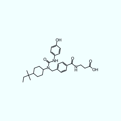 CCC(C)(C)C1CCC(N(Cc2ccc(C(=O)NCCC(=O)O)cc2)C(=O)Nc2ccc(O)cc2)CC1